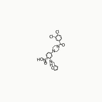 O=C(c1ccc(Cl)c(Cl)c1)N1CCN(c2ccc([N+](=O)O)c(NCc3ccco3)c2)CC1